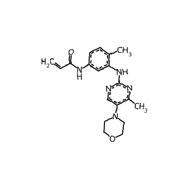 C=CC(=O)Nc1ccc(C)c(Nc2ncc(N3CCOCC3)c(C)n2)c1